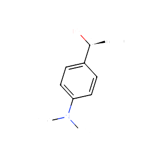 CCCCC[C@H](O)c1ccc(N(C=O)CCCC)cc1